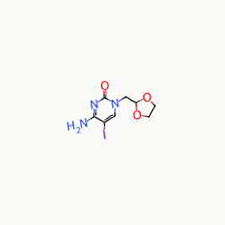 Nc1nc(=O)n(CC2OCCO2)cc1I